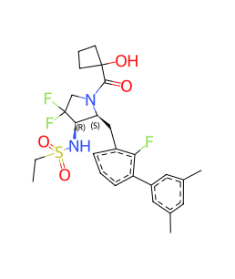 CCS(=O)(=O)N[C@@H]1[C@H](Cc2cccc(-c3cc(C)cc(C)c3)c2F)N(C(=O)C2(O)CCC2)CC1(F)F